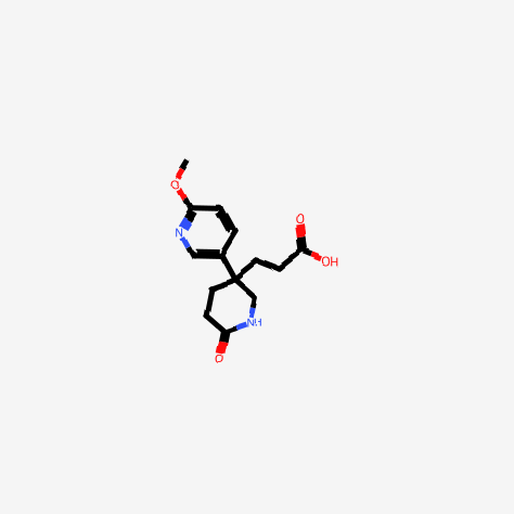 COc1ccc(C2(CCC(=O)O)CCC(=O)NC2)cn1